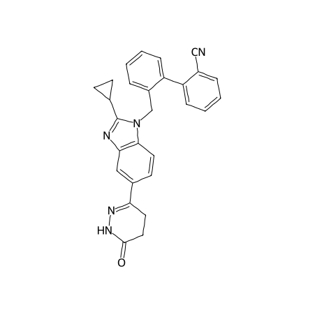 N#Cc1ccccc1-c1ccccc1Cn1c(C2CC2)nc2cc(C3=NNC(=O)CC3)ccc21